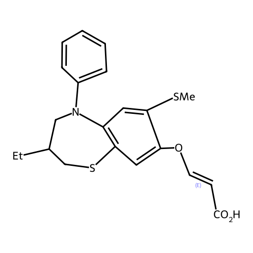 CCC1CSc2cc(O/C=C/C(=O)O)c(SC)cc2N(c2ccccc2)C1